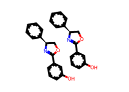 Oc1cccc(C2=N[C@@H](c3ccccc3)CO2)c1.Oc1cccc(C2=N[C@@H](c3ccccc3)CO2)c1